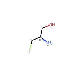 N[C@H](CO)CF